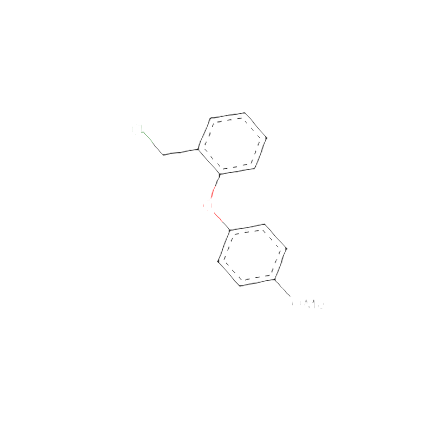 COc1ccc(Oc2ccccc2CCl)cc1